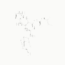 CCC(C)OC(=O)Oc1nc(N(C)C2C3CC4CC2CC(O)(C4)C3)nc(Nc2cc(C)[nH]n2)c1F